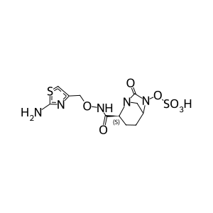 Nc1nc(CONC(=O)[C@@H]2CCC3CN2C(=O)N3OS(=O)(=O)O)cs1